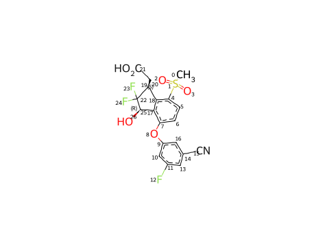 CS(=O)(=O)c1ccc(Oc2cc(F)cc(C#N)c2)c2c1[C@H](CC(=O)O)C(F)(F)[C@@H]2O